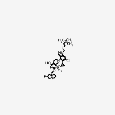 C[C@@H]1C[C@@H]1c1c(Cl)cc2c(cnn2COCC[Si](C)(C)C)c1N1CCc2c(O)nc(OC[C@@]34CCCN3C[C@H](F)C4)nc2C1